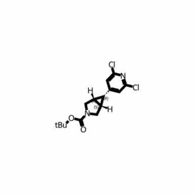 CC(C)(C)OC(=O)N1C[C@@H]2[C@H](C1)[C@@H]2c1cc(Cl)nc(Cl)c1